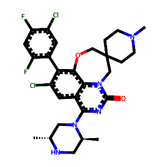 C[C@@H]1CN(c2nc(=O)n3c4c(c(-c5cc(Cl)c(F)cc5F)c(Cl)cc24)OCC2(CCN(C)CC2)C3)[C@@H](C)CN1